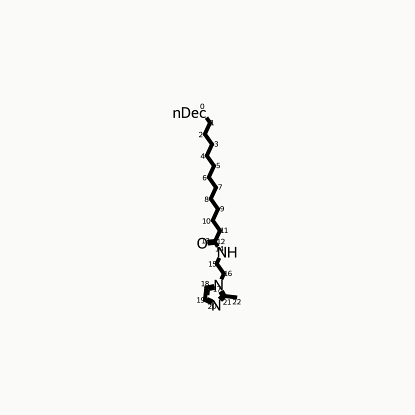 CCCCCCCCCCCCCCCCCCCCCC(=O)NCCn1ccnc1C